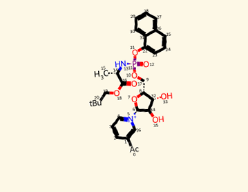 CC(=O)c1ccc[n+]([C@@H]2O[C@H](CO[P@@](=O)(N[C@@H](C)C(=O)OCC(C)(C)C)Oc3cccc4ccccc34)[C@H](O)C2O)c1